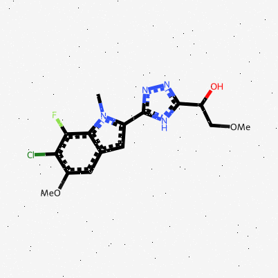 COCC(O)c1nnc(-c2cc3cc(OC)c(Cl)c(F)c3n2C)[nH]1